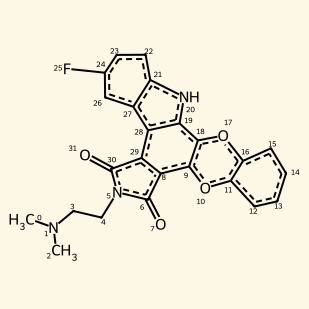 CN(C)CCn1c(=O)c2c3oc4ccccc4oc3c3[nH]c4ccc(F)cc4c3c2c1=O